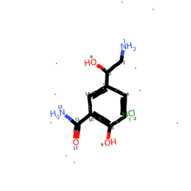 Cl.NCC(O)c1ccc(O)c(C(N)=O)c1